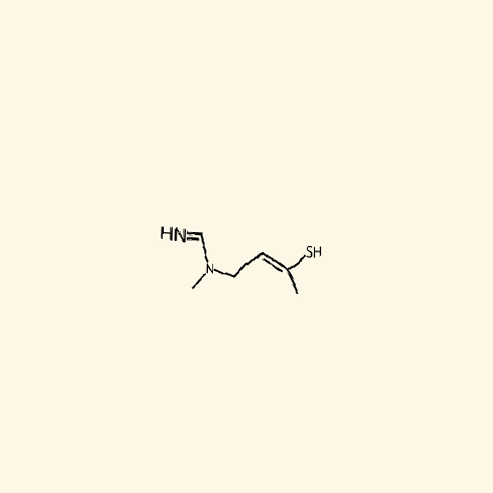 C/C(S)=C\CN(C)C=N